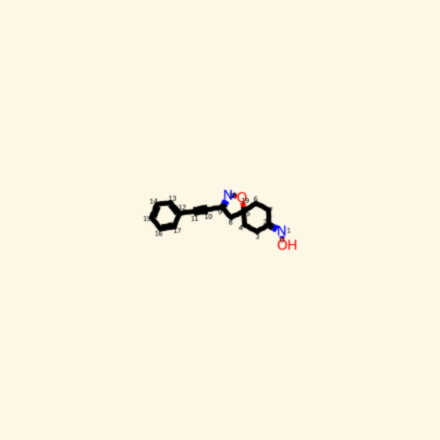 ON=C1CCC2(CC1)CC(C#Cc1ccccc1)=NO2